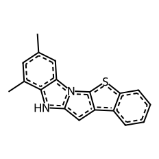 Cc1cc(C)c2[nH]c3cc4c5ccccc5sc4n3c2c1